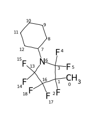 CC1(F)C(F)(F)N(C2CCCCC2)C(F)(F)C1(F)F